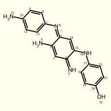 N=C1C=C(N)/C(=N\c2ccc(N)cc2)C=C1Nc1ccc(O)cc1